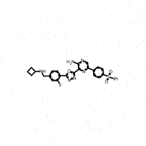 CC(C)S(=O)(=O)c1ccc(-c2cnc(N)c(-c3nnc(-c4ccc(CNC5CCC5)cc4F)o3)n2)cc1